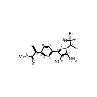 [2H]C(F)(F)C(C)n1nc(-c2ccc(C(=C)C(=O)OC)cc2)c(C#N)c1N